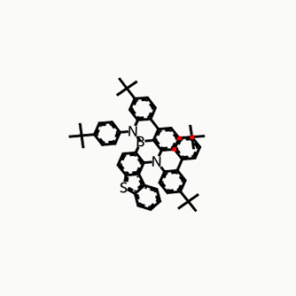 CC(C)(C)c1ccc(N2B3c4ccc5sc6ccccc6c5c4N(c4ccc(C(C)(C)C)cc4-c4ccccc4)c4cc(C(C)(C)C)cc(c43)-c3ccc(C(C)(C)C)cc32)cc1